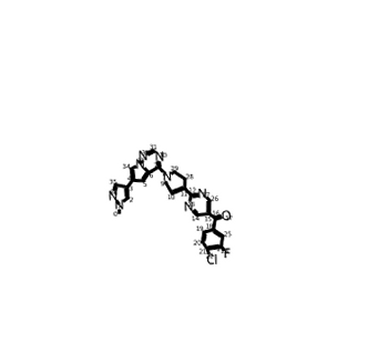 Cn1cc(-c2cc3c(N4CC=C(c5ncc(C(=O)c6ccc(Cl)c(F)c6)cn5)CC4)ncnn3c2)cn1